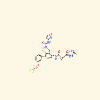 Cc1noc(C2CC2C(=O)NCc2ccc(-c3cccc(OC(F)(F)F)c3)c3c2CN(C(=O)Nc2ccon2)CC3)n1